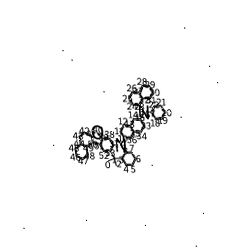 CC1(C)c2ccccc2N(c2ccc3cc(N(c4ccccc4)c4cccc5ccccc45)ccc3c2)c2cc3oc4ccc5ccccc5c4c3cc21